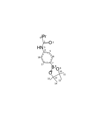 CC(C)C(=O)Nc1ccc(B2OC(C)(C)C(C)(C)O2)cc1